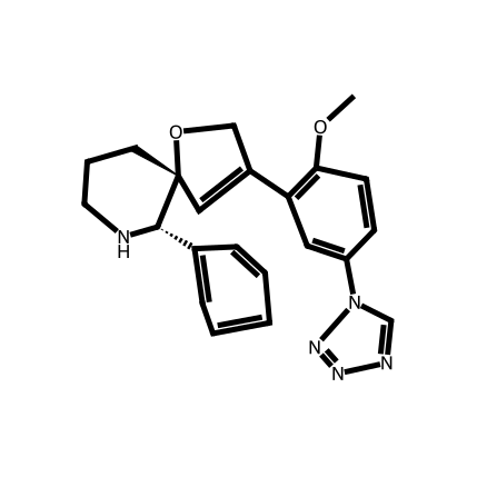 COc1ccc(-n2cnnn2)cc1C1=C[C@@]2(CCCN[C@H]2c2ccccc2)OC1